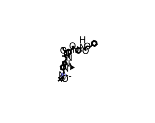 COc1cc(C(=O)N2CCC[C@@H](NC(=O)OCc3ccccc3)C2)cc2nc(-c3cc4ccc(/C=N/[S@+]([O-])C(C)(C)C)nc4n3CC3CC3)c(C)n12